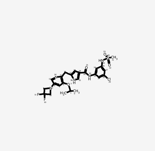 CC(C)Oc1cc(N2CC(F)(F)C2)cnc1Cc1cc(C(=O)Nc2cc(Cl)cc(NS(C)(=O)=O)c2)c[nH]1